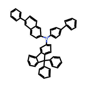 c1ccc(-c2ccc(N(c3ccc4c(c3)-c3ccccc3C4(c3ccccc3)c3ccccc3)c3ccc4cc(-c5ccccc5)ccc4c3)cc2)cc1